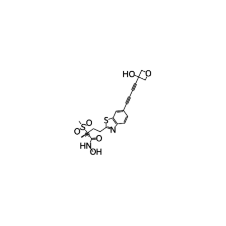 C[C@@](CCc1nc2ccc(C#CC#CC3(O)COC3)cc2s1)(C(=O)NO)S(C)(=O)=O